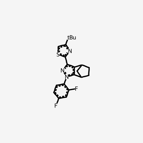 CC(C)(C)c1csc(-c2nn(-c3ccc(F)cc3F)c3c2C2CCC3C2)n1